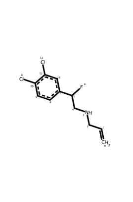 C=CCNCC(F)c1ccc(Cl)c(Cl)c1